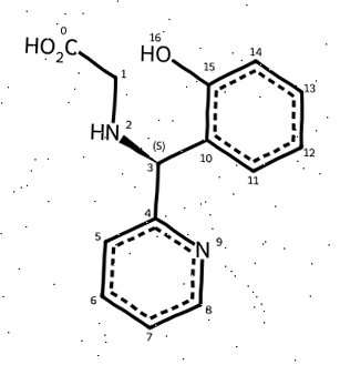 O=C(O)CN[C@H](c1ccccn1)c1ccccc1O